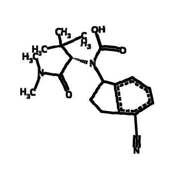 CN(C)C(=O)[C@@H](N(C(=O)O)C1CCc2c(C#N)cccc21)C(C)(C)C